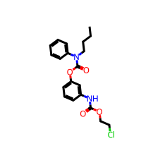 CCCCN(C(=O)Oc1cccc(NC(=O)OCCCl)c1)c1ccccc1